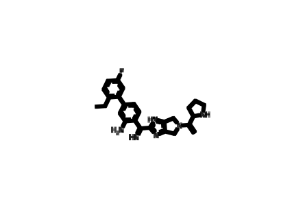 C=C(C1CCCN1)N1Cc2nc(C(=N)c3ccc(-c4cc(F)ccc4CC)cc3N)[nH]c2C1